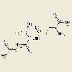 NC(CCC(=O)NC(CS)C(=O)NCC(=O)O)C(=O)O.[Ag]